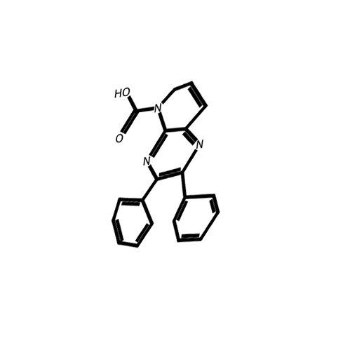 O=C(O)N1CC=Cc2nc(-c3ccccc3)c(-c3ccccc3)nc21